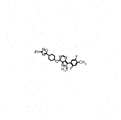 Cc1cc(F)c(-c2c3ncnc(OC4CCC(c5nc(C(C)C)no5)CC4)c3nn2C)cc1F